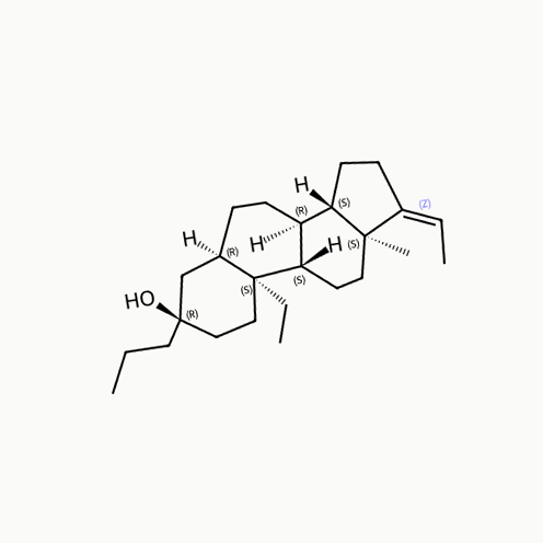 C/C=C1/CC[C@H]2[C@@H]3CC[C@@H]4C[C@@](O)(CCC)CC[C@]4(CC)[C@H]3CC[C@]12C